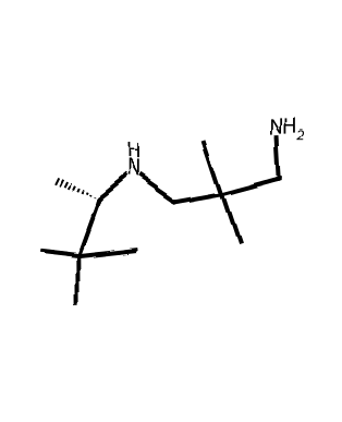 C[C@H](NCC(C)(C)CN)C(C)(C)C